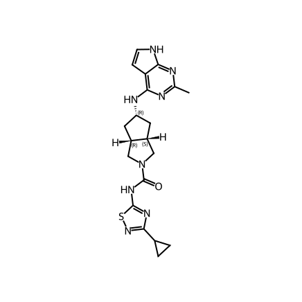 Cc1nc(N[C@@H]2C[C@@H]3CN(C(=O)Nc4nc(C5CC5)ns4)C[C@@H]3C2)c2cc[nH]c2n1